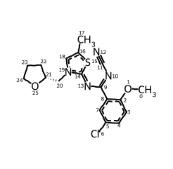 COc1ccc(Cl)cc1C(=NC#N)N=c1sc(C)cn1C[C@H]1CCCO1